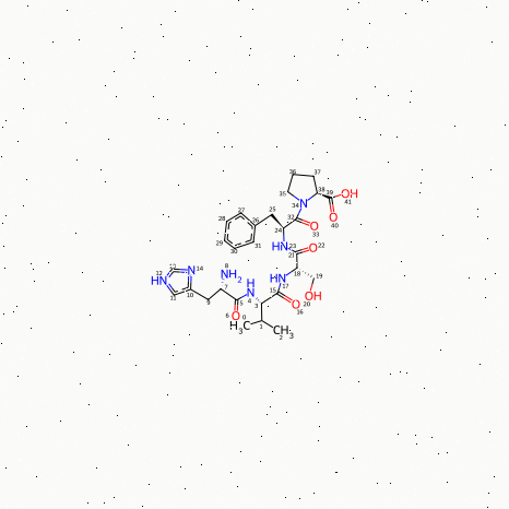 CC(C)[C@H](NC(=O)[C@@H](N)Cc1c[nH]cn1)C(=O)N[C@@H](CO)C(=O)N[C@@H](Cc1ccccc1)C(=O)N1CCC[C@H]1C(=O)O